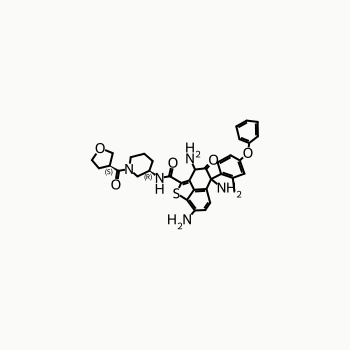 Cc1cc(Oc2ccccc2)ccc1C1(N)C(=O)C(N)c2c(C(=O)N[C@@H]3CCCN(C(=O)[C@H]4CCOC4)C3)sc3c(N)ccc1c23